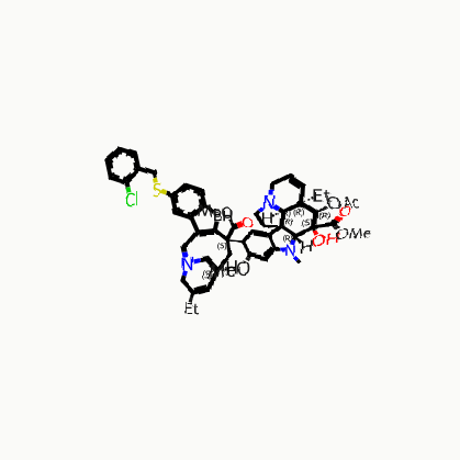 CCC1=C[C@H]2CN(C1)CC1=C(Bc3ccc(SCc4ccccc4Cl)cc31)[C@@](C(=O)OC)(C1C=C3C(=CC1OC)N(C)[C@H]1[C@@](O)(C(=O)OC)[C@H](OC(C)=O)[C@]4(CC)C=CCN5CC[C@]31[C@@H]54)C2